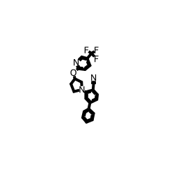 N#Cc1ccc(-c2ccccc2)cc1N1CCC(Oc2ccc(C(F)(F)F)cn2)C1